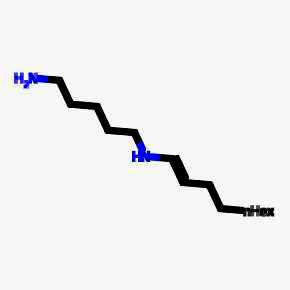 CCCCCCCCC=CNCCCCCN